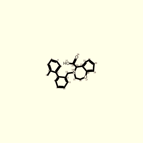 Cc1ccccc1-c1ccccc1CN1CCOc2ccccc2C1C(=O)O